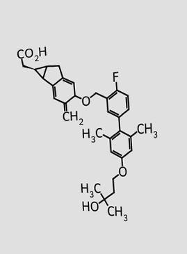 C=C1C=C2C(=CC1OCc1cc(-c3c(C)cc(OCCC(C)(C)O)cc3C)ccc1F)CC1C2[C@H]1CC(=O)O